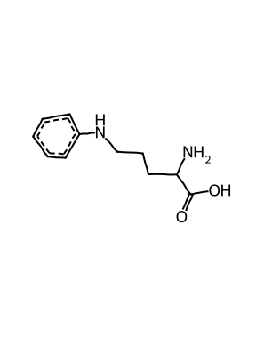 NC(CCCNc1ccccc1)C(=O)O